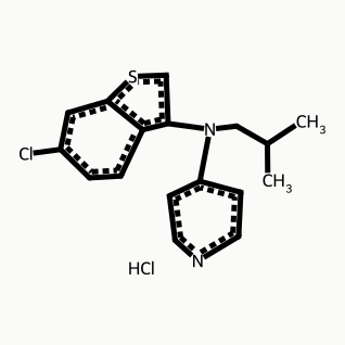 CC(C)CN(c1ccncc1)c1csc2cc(Cl)ccc12.Cl